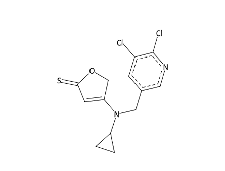 S=C1C=C(N(Cc2cnc(Cl)c(Cl)c2)C2CC2)CO1